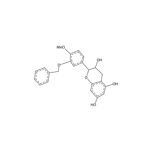 COc1ccc(C2Oc3cc(O)cc(O)c3CC2O)cc1OCc1ccccc1